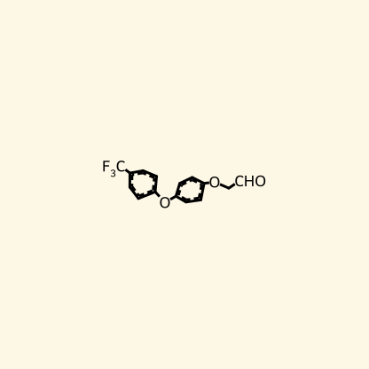 O=CCOc1ccc(Oc2ccc(C(F)(F)F)cc2)cc1